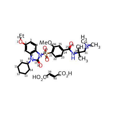 CCOc1ccc2c(c1)n(C1CCCCC1)c(=O)n2S(=O)(=O)c1ccc(C(=O)NC(C)(C)CN(C)C)cc1OC.O=C(O)C=CC(=O)O